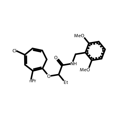 CCCC1=C(OC(CC)C(=O)NCc2c(OC)cccc2OC)CC=CC(Cl)=C1